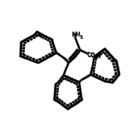 NC(C(=O)O)=C(c1ccccc1)c1ccccc1-c1ccccc1